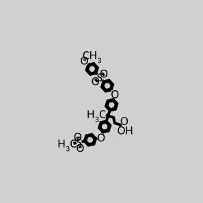 COc1ccc(S(=O)(=O)c2ccc(Oc3ccc(C(C)(CCC(=O)O)c4ccc(Oc5ccc(S(C)(=O)=O)cc5)cc4)cc3)cc2)cc1